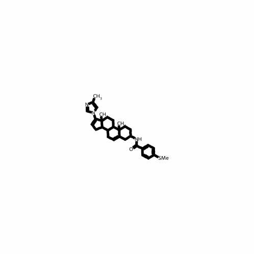 CSc1ccc(C(=O)NC2CCC3(C)C(=CCC4C3CCC3(C)C(n5cnc(C)c5)=CCC43)C2)cc1